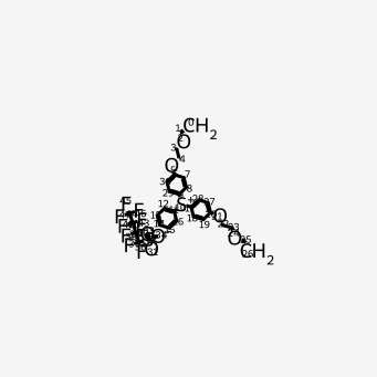 C=COCCOc1ccc([S+](c2ccccc2)c2ccc(OCCOC=C)cc2)cc1.O=S(=O)([O-])C(F)(F)C(F)(F)C(F)(F)C(F)(F)F